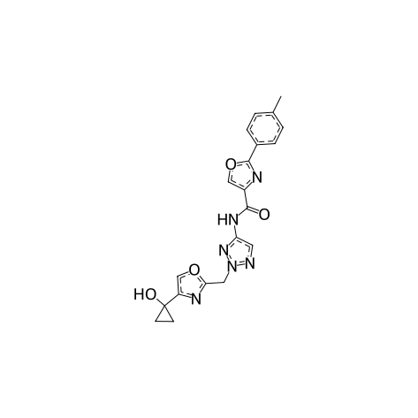 Cc1ccc(-c2nc(C(=O)Nc3cnn(Cc4nc(C5(O)CC5)co4)n3)co2)cc1